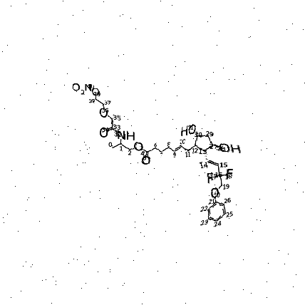 CC(COC(=O)CCCC=CC[C@@H]1[C@@H](C=CC(F)(F)COc2ccccc2)[C@H](O)C[C@@H]1O)NC(=O)COCCO[N+](=O)[O-]